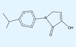 CC(C)c1ccc(N2CC=C(O)C2=O)cc1